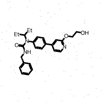 CCC(CC)N(C(=O)NCc1ccccc1)c1ccc(-c2ccnc(OCCO)c2)cc1